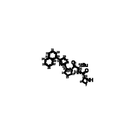 CC(C)(C)[C@H](NC(=O)[C@@H]1CCN1)C(=O)N1CCC[C@H]1c1nc(-c2cccc3ccccc23)cs1